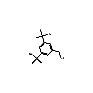 CC(C)(C#N)c1cc(CO)cc(C(C)(C)C#N)c1